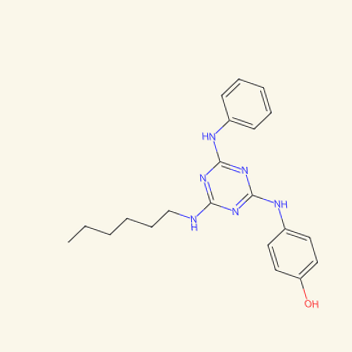 CCCCCCNc1nc(Nc2ccccc2)nc(Nc2ccc(O)cc2)n1